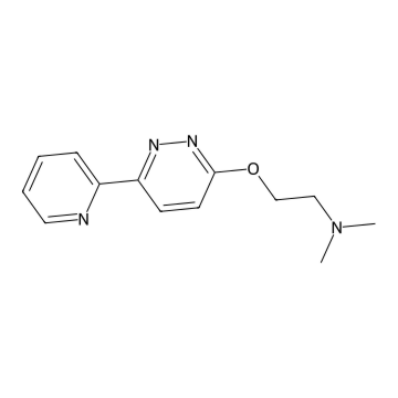 CN(C)CCOc1ccc(-c2ccccn2)nn1